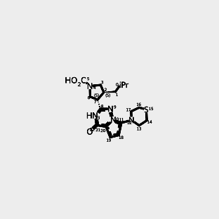 CC(C)C[C@@H]1CN(C(=O)O)C[C@H]1c1nn2c(N3CCSCC3)ccc2c(=O)[nH]1